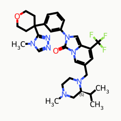 CC(C)[C@H]1CN(C)CCN1Cc1cc(C(F)(F)F)c2cn(-c3cccc(C4(c5nncn5C)CCOCC4)c3)c(=O)n2c1